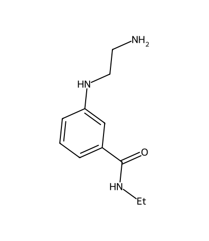 CCNC(=O)c1cccc(NCCN)c1